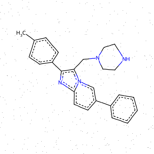 Cc1ccc(-c2nc3ccc(-c4ccccc4)cn3c2CN2CCNCC2)cc1